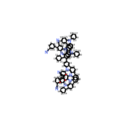 N#Cc1cccc(-c2cc(-n3c4ccccc4c4c(-c5ccc6c(c5)c5ccc7c8ccccc8n(-c8cc(C#N)c(-c9cccc(C#N)c9)cc8-n8c9ccccc9c9ccc%10c%11ccccc%11n(-c%11ccccc%11)c%10c98)c7c5n6-c5ccccc5)cc5c(c6ccccc6n5-c5ccccc5)c43)c(-n3c4ccccc4c4ccc5c(c6ccccc6n5-c5ccccc5)c43)cc2C#N)c1